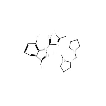 CC(C)c1nn(-c2noc(C[C@@H]3CCN(C[C@H]4CCCN4C(=O)O)C3)n2)c2c(F)cccc12